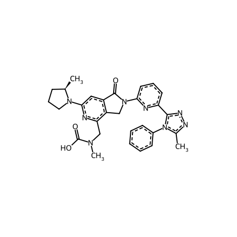 Cc1nnc(-c2cccc(N3Cc4c(cc(N5CCC[C@H]5C)nc4CN(C)C(=O)O)C3=O)n2)n1-c1ccccc1